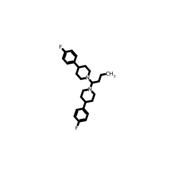 CCCC(N1CCC(c2ccc(F)cc2)CC1)N1CCC(c2ccc(F)cc2)CC1